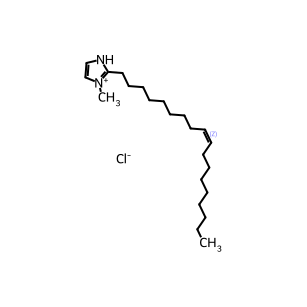 CCCCCCCC/C=C\CCCCCCCCc1[nH]cc[n+]1C.[Cl-]